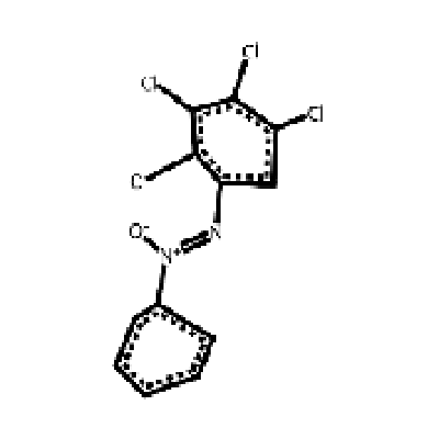 [O-][N+](=Nc1cc(Cl)c(Cl)c(Cl)c1Cl)c1ccccc1